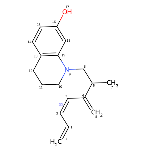 C=C/C=C\C(=C)C(C)CN1CCCc2ccc(O)cc21